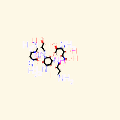 NCC[C@H](O)C(=O)N[C@@H]1C[C@H](N)C(O[C@H]2OC(CN)CCC2N)C(NCCCO)[C@H]1O[C@H]1OC(CO)[C@@H](O)[C@H](N)C1O